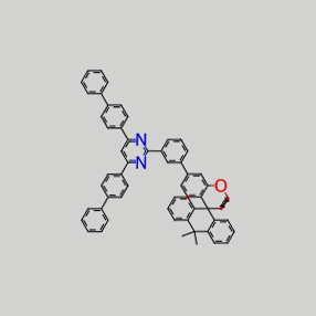 CC1(C)c2ccccc2C2(c3ccccc3Oc3cc(-c4cccc(-c5nc(-c6ccc(-c7ccccc7)cc6)cc(-c6ccc(-c7ccccc7)cc6)n5)c4)ccc32)c2ccccc21